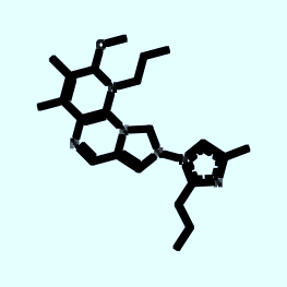 CCCc1nc(C)cn1N1C=C2C=NC3=C(N2C1)N(CCC)C(OC)C(C)=C3C